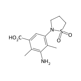 Cc1c(C(=O)O)cc(N2CCCS2(=O)=O)c(C)c1N